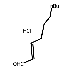 CCCCCCCC=CC=O.Cl